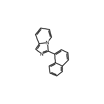 c1ccc2c(-c3ncc4ccccn34)cccc2c1